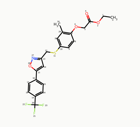 CCOC(=O)COc1ccc(SCc2cc(-c3ccc(C(F)(F)F)cc3)on2)cc1C